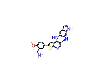 COc1ccc(-c2cc3c(Nc4ccc5[nH]ccc5c4)c(C#N)cnc3s2)cc1CN(C)C